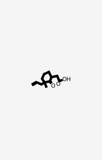 C=CCC1(C)CCCC(CC(=O)O)C1=O